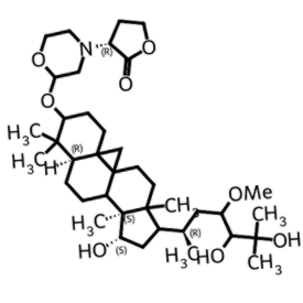 COC(C[C@@H](C)C1C[C@H](O)[C@@]2(C)C3CC[C@H]4C(C)(C)C(OC5CN([C@@H]6CCOC6=O)CCO5)CCC45CC35CCC12C)C(O)C(C)(C)O